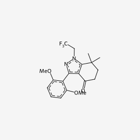 COc1cccc(OC)c1-c1nn(CC(F)(F)F)c2c1C(=O)CCC2(C)C